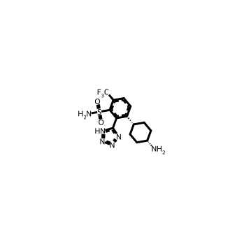 NS(=O)(=O)c1c(C(F)(F)F)ccc([C@H]2CC[C@@H](N)CC2)c1-c1nnn[nH]1